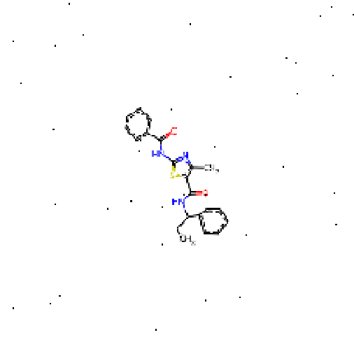 CCC(NC(=O)c1sc(NC(=O)c2ccccc2)nc1C)c1ccccc1